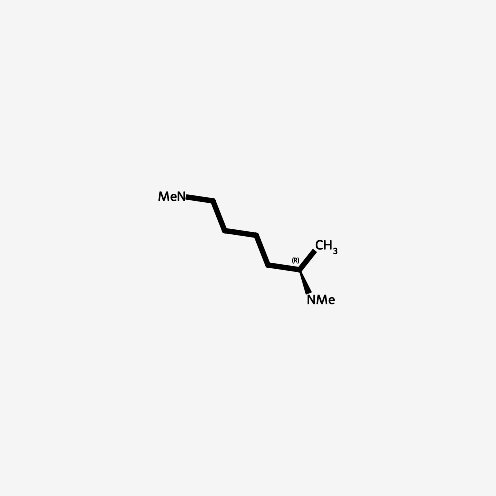 CNCCCC[C@@H](C)NC